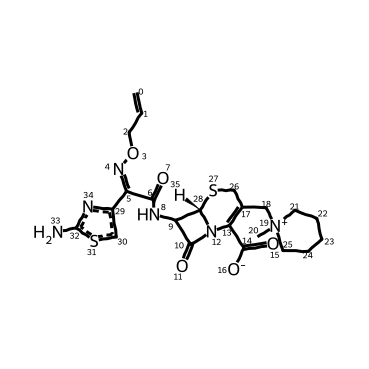 C=CCO/N=C(\C(=O)NC1C(=O)N2C(C(=O)[O-])=C(C[N+]3(C)CCCCC3)CS[C@@H]12)c1csc(N)n1